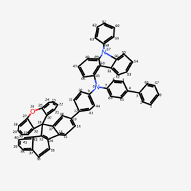 c1ccc(-c2ccc(N(c3ccc(-c4ccc5c(c4)C4(c6ccccc6Oc6ccccc64)c4c-5ccc5ccccc45)cc3)c3cccc4c3c3ccccc3n4-c3ccccc3)cc2)cc1